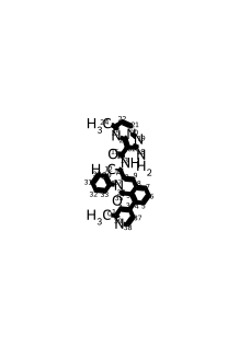 Cc1cc(-c2cccc3cc([C@H](C)NC(=O)c4c(N)nn5ccc(C)nc45)n(-c4ccccc4)c(=O)c23)ccn1